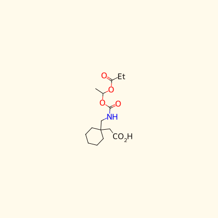 CCC(=O)OC(C)OC(=O)NCC1(CC(=O)O)CCCCC1